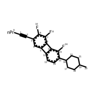 CCCC#Cc1cc2c(c(F)c1F)-c1c-2ccc(C2CCC(C)CC2)c1F